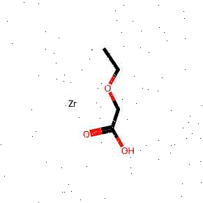 CCOCC(=O)O.[Zr]